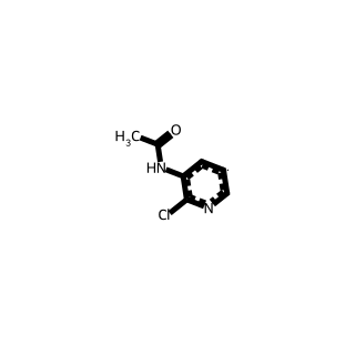 CC(=O)Nc1c[c]cnc1Cl